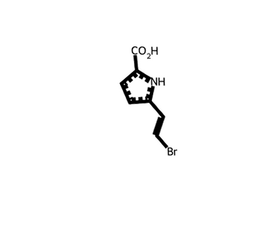 O=C(O)c1ccc(C=CBr)[nH]1